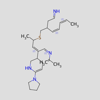 C=C(C)/N=C\C(=C/C(C)SCC(/C=C\C=C/C)CC=N)C1CC=C(N2CCCC2)NC1